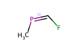 C/P=C\F